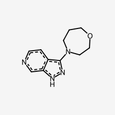 c1cc2c(N3CCCOCC3)n[nH]c2cn1